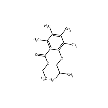 CCOC(=O)c1c(C)c(C)c(C)c(C)c1OCC(C)C